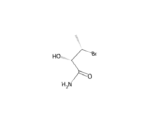 C[C@H](Br)[C@@H](O)C(N)=O